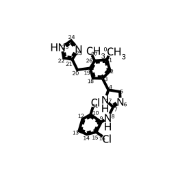 Cc1cc(C2CN=C(Nc3c(Cl)cccc3Cl)N2)cc(Cc2c[nH]cn2)c1C